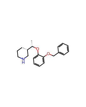 C[C@H](Oc1ccccc1OCc1ccccc1)[C@H]1CCCNC1